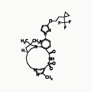 Cc1nn2cc1S(=O)(=O)NC(=O)c1ccc(-n3ccc(OCCC4(C(F)(F)F)CC4)n3)nc1N1C[C@@H](CCC2)CC1(C)C